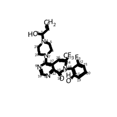 C=CC(O)N1CCN(c2ncnc3c(=O)n(-c4c(O)cccc4F)c(C(F)(F)F)cc23)CC1